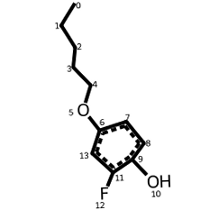 CCCCCOc1ccc(O)c(F)c1